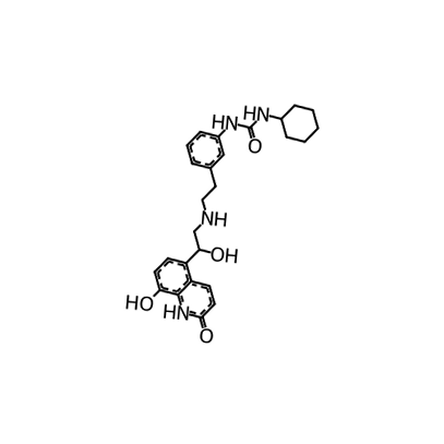 O=C(Nc1cccc(CCNCC(O)c2ccc(O)c3[nH]c(=O)ccc23)c1)NC1CCCCC1